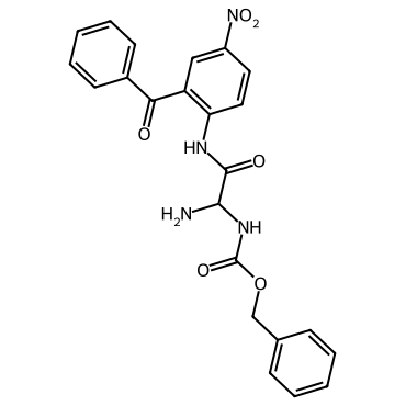 NC(NC(=O)OCc1ccccc1)C(=O)Nc1ccc([N+](=O)[O-])cc1C(=O)c1ccccc1